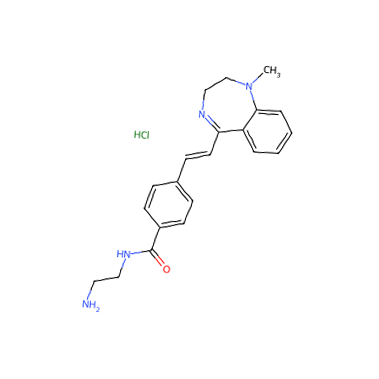 CN1CCN=C(C=Cc2ccc(C(=O)NCCN)cc2)c2ccccc21.Cl